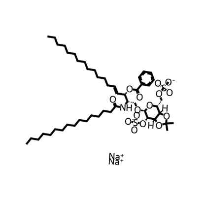 CCCCCCCCCCCCC/C=C/[C@@H](OC(=O)c1ccccc1)[C@H](CO[C@H]1O[C@H](COS(=O)(=O)[O-])[C@@H]2OC(C)(C)O[C@@H]2[C@H]1OS(=O)(=O)[O-])NC(=O)CCCCCCCCCCCCCCC.[Na+].[Na+]